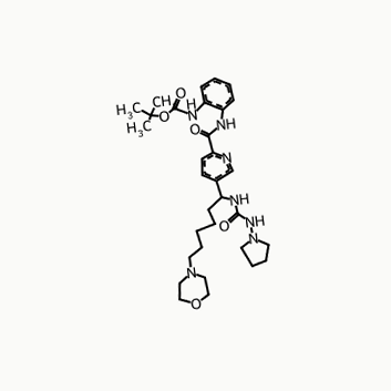 CC(C)(C)OC(=O)Nc1ccccc1NC(=O)c1ccc(C(CCCCCN2CCOCC2)NC(=O)NN2CCCC2)cn1